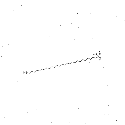 CO[Si](CCCCCCCCCCCCCCCCCCCCCCCCCCCS)(OC)OC